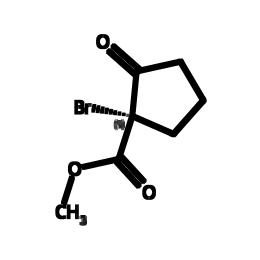 COC(=O)[C@]1(Br)CCCC1=O